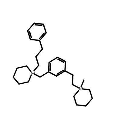 C[N+]1(CCc2cccc(C[N+]3(CCCc4ccccc4)CCCCC3)c2)CCCCC1